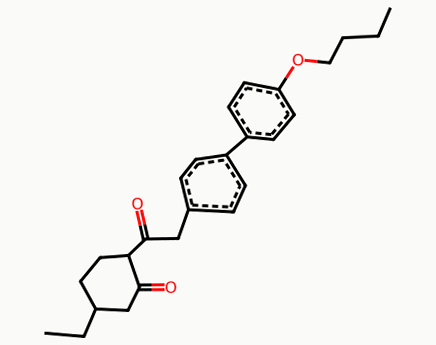 CCCCOc1ccc(-c2ccc(CC(=O)C3CCC(CC)CC3=O)cc2)cc1